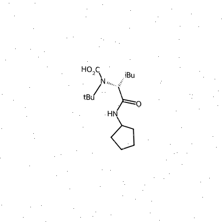 CC[C@@H](C)[C@H](C(=O)NC1CCCC1)N(C(=O)O)C(C)(C)C